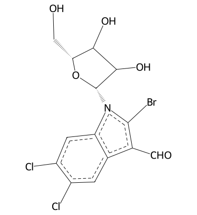 O=Cc1c(Br)n([C@@H]2O[C@H](CO)C(O)C2O)c2cc(Cl)c(Cl)cc12